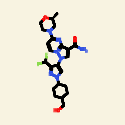 C[C@H]1CN(c2cc[n+]3c(n2)c(C(N)=O)cn3-c2cn(C3CCC(CO)CC3)nc2C(F)F)CCO1